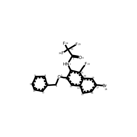 O=C(Nc1c(OCc2ccccc2)cc2ccc(Br)cc2c1F)C(F)(F)F